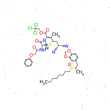 CC1=C(C(=O)OCC(Cl)(Cl)Cl)N2C(=O)C(NC(=O)COc3ccccc3)[C@H]2SC1CC(C#N)C#N.CCCCCCCC[S+]([O-])C(C)Cc1ccc2c(c1)OCO2